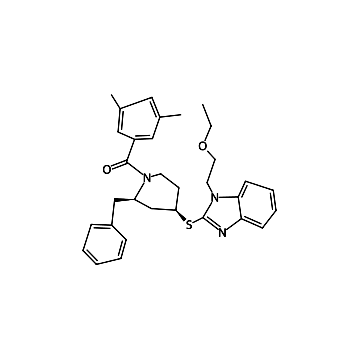 CCOCCn1c(S[C@@H]2CCN(C(=O)c3cc(C)cc(C)c3)[C@H](Cc3ccccc3)C2)nc2ccccc21